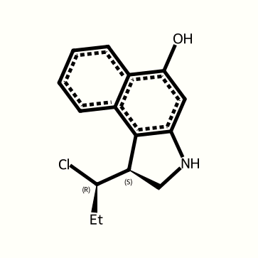 CC[C@@H](Cl)[C@@H]1CNc2cc(O)c3ccccc3c21